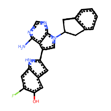 Nc1ncnc2c1c(-c1cc3cc(O)c(F)cc3[nH]1)cn2C1Cc2ccccc2C1